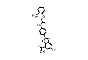 Cc1ccccc1OCC(=O)Nc1ccc(-c2nc3cc(Br)cc(C(=O)O)c3o2)cc1